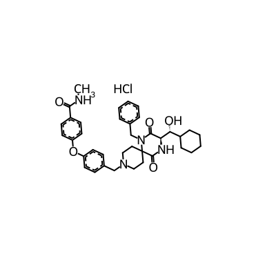 CNC(=O)c1ccc(Oc2ccc(CN3CCC4(CC3)C(=O)N[C@H]([C@H](O)C3CCCCC3)C(=O)N4Cc3ccccc3)cc2)cc1.Cl